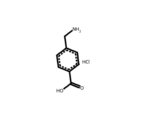 Cl.NCc1ccc(C(=O)O)cc1